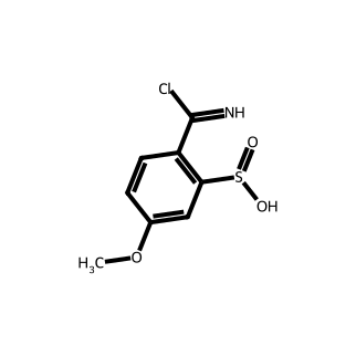 COc1ccc(C(=N)Cl)c(S(=O)O)c1